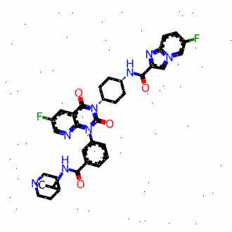 O=C(NC1CN2CCC1CC2)c1cccc(-n2c(=O)n([C@H]3CC[C@@H](NC(=O)c4cn5cc(F)ccc5n4)CC3)c(=O)c3cc(F)cnc32)c1